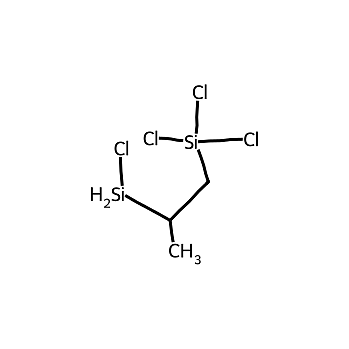 CC(C[Si](Cl)(Cl)Cl)[SiH2]Cl